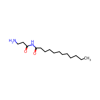 CCCCCCCCCCCC(=O)NC(=O)CCN